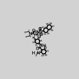 CCN(CC)C(=O)[C@H](Cc1ccc(NC(=O)c2c(N)cccc2F)cc1)C(=O)NS(=O)(=O)c1ccc2ccccc2c1